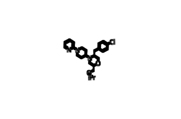 CC(C)OC[C@H]1CN(C2CCN(c3ccccn3)CC2)[C@@H](Cc2ccc(Cl)cc2)CO1